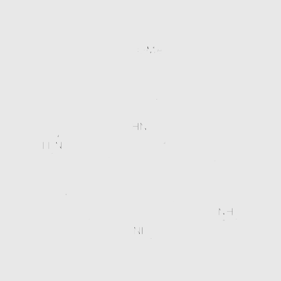 COCCNc1ccc(N)cc1-c1cc(N)ccc1N